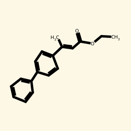 CCOC(=O)/C=C(\C)c1ccc(-c2ccccc2)cc1